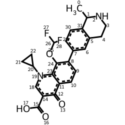 CC1NCCc2cc(-c3ccc4c(=O)c(C(=O)O)cn(C5CC5)c4c3OC(F)F)ccc21